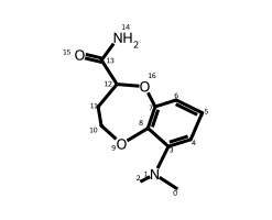 CN(C)c1c[c]cc2c1OCCC(C(N)=O)O2